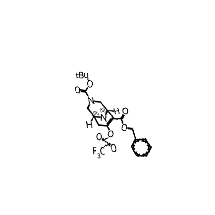 CN1[C@@H]2CC(OS(=O)(=O)C(F)(F)F)=C(C(=O)OCc3ccccc3)[C@H]1CN(C(=O)OC(C)(C)C)C2